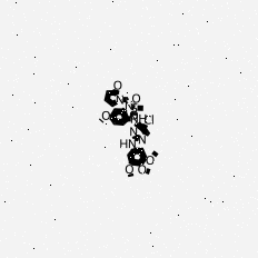 COc1ccc(Nc2nc(Nc3cc(OC)c(OC)c(OC)c3)ncc2Cl)c(N(CN2CCCC2=O)S(C)(=O)=O)c1